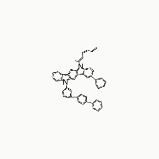 C=C/C=C\C=C(/C)n1c2ccc(-c3ccccc3)cc2c2cc3c(cc21)c1ccccc1n3-c1cccc(-c2ccc(-c3ccccc3)cc2)c1